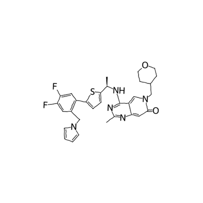 Cc1nc(N[C@H](C)c2ccc(-c3cc(F)c(F)cc3Cn3cccc3)s2)c2cn(CC3CCOCC3)c(=O)cc2n1